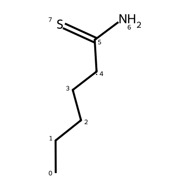 CCCC[CH]C(N)=S